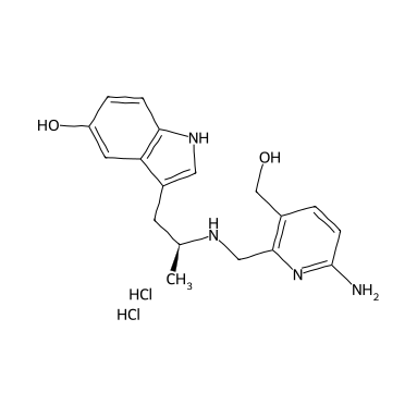 C[C@@H](Cc1c[nH]c2ccc(O)cc12)NCc1nc(N)ccc1CO.Cl.Cl